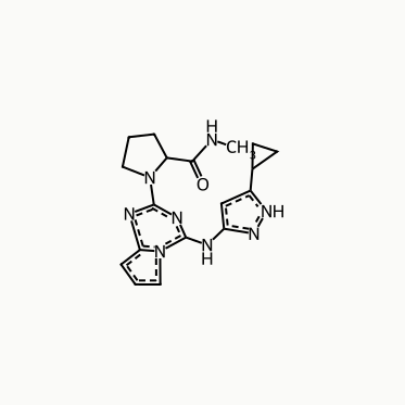 CNC(=O)C1CCCN1c1nc(Nc2cc(C3CC3)[nH]n2)n2cccc2n1